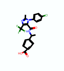 Cc1nc(C(F)(F)F)c(C(=O)NC(C)c2ccc(C(=O)O)cc2)n1-c1ccc(Cl)cc1